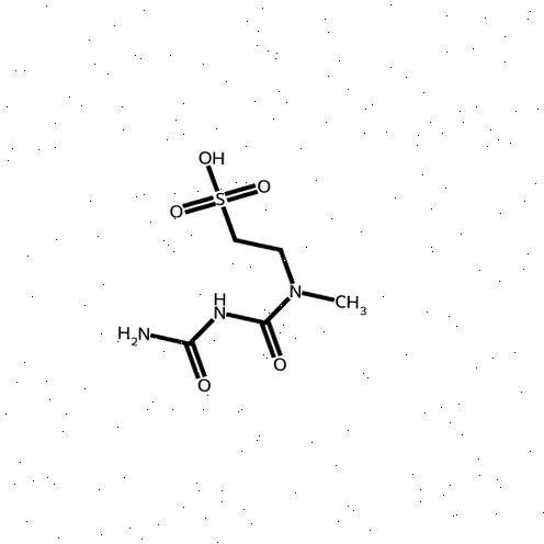 CN(CCS(=O)(=O)O)C(=O)NC(N)=O